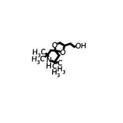 CC1(C)CC2(CC(C)(C)N1)OCC(CCO)O2